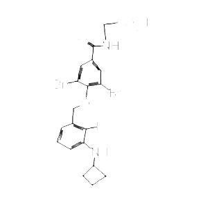 O=C(O)CNC(=O)c1cc(Br)c(OCc2cccc(NC3CCC3)c2F)c(Br)c1